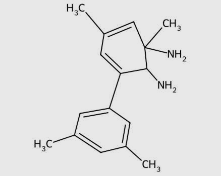 CC1=CC(C)(N)C(N)C(c2cc(C)cc(C)c2)=C1